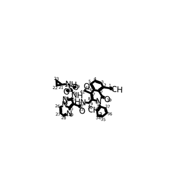 C#Cc1ccc2c3c(c([C@H](C)NC(=O)c4c(NS(=O)(=O)NC5CC5)nn5cccnc45)n(-c4ccccc4)c(=O)c13)CO2